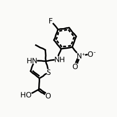 CCC1(Nc2cc(F)ccc2[N+](=O)[O-])NC=C(C(=O)O)S1